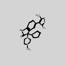 Cc1noc(C)c1-c1ccc2c(c1)C(C1CCCC1)(N1CCN(C)CC1)C(=O)N2